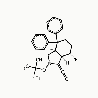 CC(C)(C)ON1C[C@@H]2[C@H](C1=C=O)[C@@H](F)CCC2(c1ccccc1)c1ccccc1